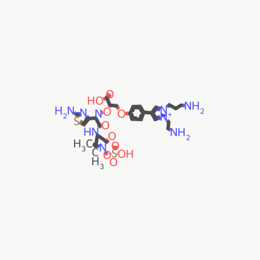 CC1(C)[C@H](NC(=O)/C(=N\OC(COc2ccc(-c3cn(CCCN)[n+](CCN)c3)cc2)C(=O)O)c2csc(N)n2)C(=O)N1OS(=O)(=O)O